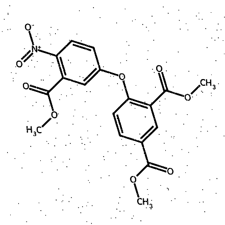 COC(=O)c1ccc(Oc2ccc([N+](=O)[O-])c(C(=O)OC)c2)c(C(=O)OC)c1